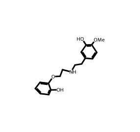 COc1ccc(CCNCCOc2ccccc2O)cc1O